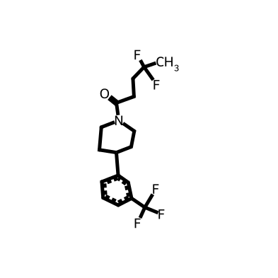 CC(F)(F)CCC(=O)N1CCC(c2cccc(C(F)(F)F)c2)CC1